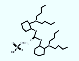 CCCCN(CCCC)C1CCCCC1OC(=O)OC1CCCCC1N(CCCC)CCCC.O.O=S(=O)(O)O